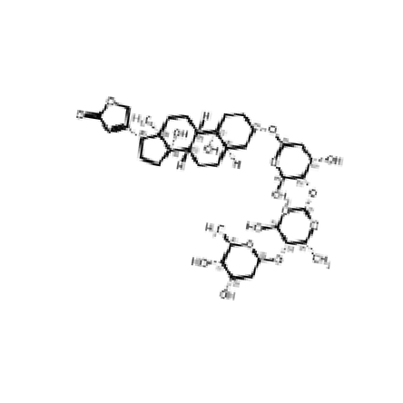 C[C@H]1O[C@@H](O[C@H]2[C@@H](C)O[C@@H](O[C@H]3[C@@H](O)C[C@H](O[C@H]4CC[C@@]5(C)[C@H](CC[C@H]6[C@@H]5CC[C@]5(C)[C@@H](C7=CC(=O)OC7)CC[C@]65O)C4)O[C@@H]3C)O[C@@H]2O)C[C@H](O)[C@@H]1O